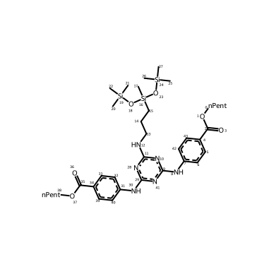 CCCCCOC(=O)c1ccc(Nc2nc(NCCC[Si](C)(O[Si](C)(C)C)O[Si](C)(C)C)nc(Nc3ccc(C(=O)OCCCCC)cc3)n2)cc1